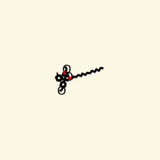 CCCCCCCCCCCCCCCC(O)CC(c1ccccc1)(c1ccc(OC)cc1)c1ccc(OC)cc1